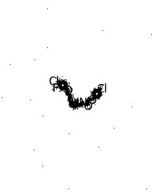 O=C(COc1ccc(Cl)cc1)NCC1CCN(CCCOc2ccc(Cl)c(F)c2)C1